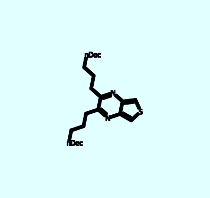 CCCCCCCCCCCCCc1nc2cscc2nc1CCCCCCCCCCCCC